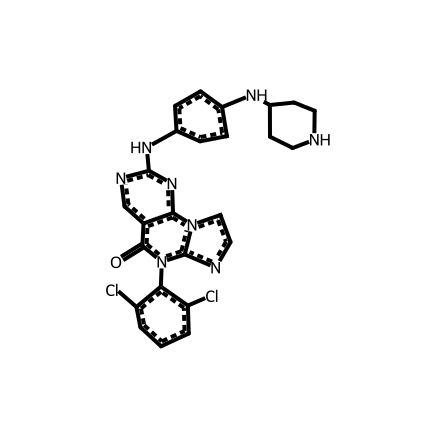 O=c1c2cnc(Nc3ccc(NC4CCNCC4)cc3)nc2n2ccnc2n1-c1c(Cl)cccc1Cl